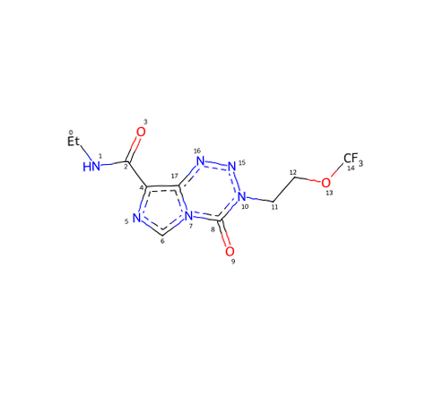 CCNC(=O)c1ncn2c(=O)n(CCOC(F)(F)F)nnc12